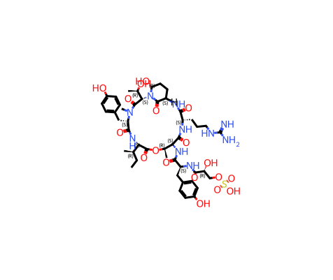 CC[C@@H](C)[C@@H]1NC(=O)[C@H](Cc2ccc(O)cc2)N(C)C(=O)[C@H]([C@@H](C)O)N2C(=O)[C@H](CC[C@H]2O)NC(=O)[C@H](CCCNC(=N)N)NC(=O)[C@@H](NC(=O)[C@H](Cc2ccc(O)cc2)NC(=O)[C@H](O)COS(=O)(=O)O)[C@@H](C)OC1=O